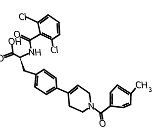 Cc1ccc(C(=O)N2CC=C(c3ccc(C[C@H](NC(=O)c4c(Cl)cccc4Cl)C(=O)O)cc3)CC2)cc1